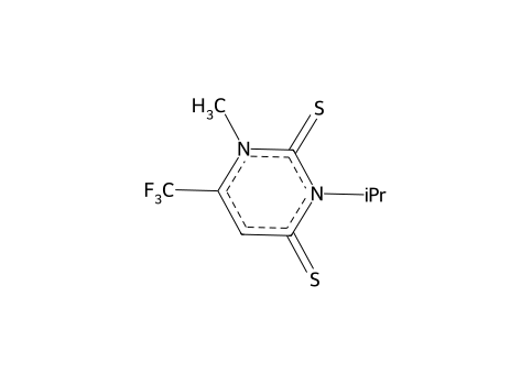 CC(C)n1c(=S)cc(C(F)(F)F)n(C)c1=S